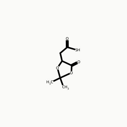 CC1(C)OC(=O)C(CC(=O)S)O1